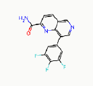 NC(=O)c1ccc2cncc(-c3cc(F)c(F)c(F)c3)c2n1